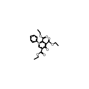 CCOC(=O)c1cn(-c2ccccc2)c(C(=O)OCC)c(C(=O)OCC)c1=O